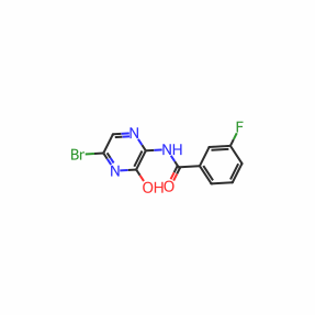 O=C(Nc1ncc(Br)nc1O)c1cccc(F)c1